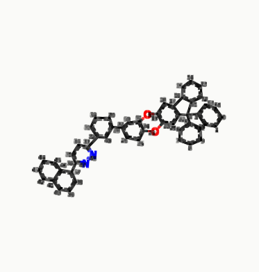 c1ccc(C2(c3ccccc3)c3ccccc3-c3cc4c(cc32)Oc2ccc(-c3cccc(-c5ccc(-c6cccc7ccccc67)nn5)c3)cc2O4)cc1